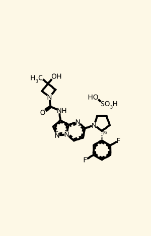 CC1(O)CN(C(=O)Nc2cnn3ccc(N4CCC[C@@H]4c4cc(F)ccc4F)nc23)C1.O=S(=O)(O)O